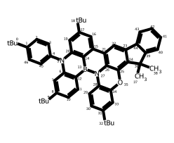 CC(C)(C)c1ccc(N2c3cc(C(C)(C)C)ccc3B3c4c(cc(C(C)(C)C)cc42)-c2cc4c(c5c2N3c2ccc(C(C)(C)C)cc2O5)C(C)(C)c2ccccc2-4)cc1